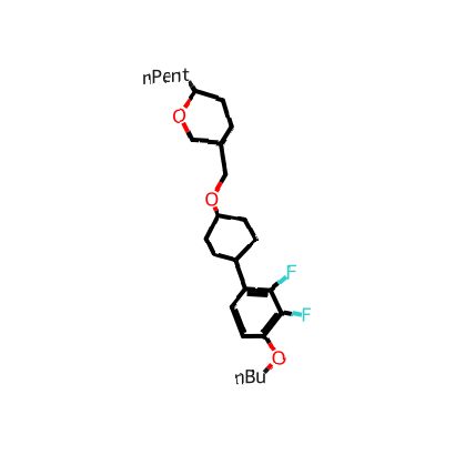 CCCCCC1CCC(COC2CCC(c3ccc(OCCCC)c(F)c3F)CC2)CO1